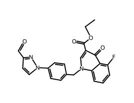 CCOC(=O)c1cn(Cc2ccc(-n3ccc(C=O)n3)cc2)c2cccc(F)c2c1=O